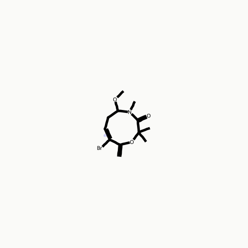 C=C1OC(C)(C)C(=O)N(C)C(OC)C/C=C\1Br